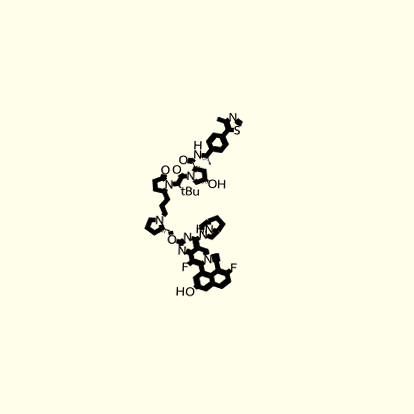 C#Cc1c(F)ccc2cc(O)cc(-c3ncc4c(N5CC6CCC(C5)N6)nc(OC[C@@H]5CCCN5CCCC5CCC(=O)N5[C@H](C(=O)N5C[C@H](O)C[C@H]5C(=O)N[C@@H](C)c5ccc(-c6scnc6C)cc5)C(C)(C)C)nc4c3F)c12